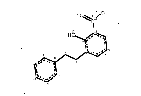 O=[N+]([O-])c1cccc(CCc2ccccc2)c1O